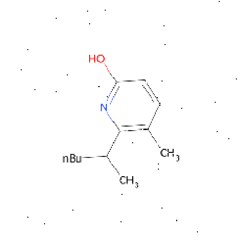 CCCCC(C)c1nc(O)ccc1C